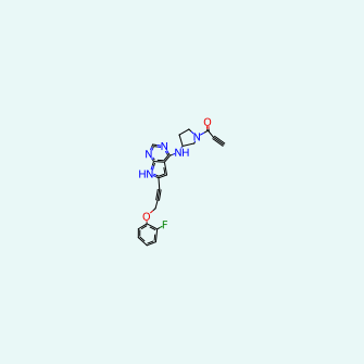 C#CC(=O)N1CCC(Nc2ncnc3[nH]c(C#CCOc4ccccc4F)cc23)C1